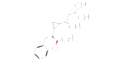 CC(=O)[C@@H](Cc1ccccc1)C1CC1[C@@H](C)CC(C)C